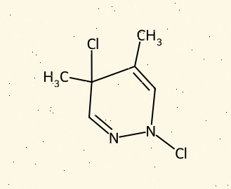 CC1=CN(Cl)N=CC1(C)Cl